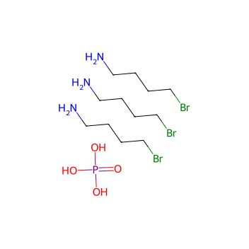 NCCCCBr.NCCCCBr.NCCCCBr.O=P(O)(O)O